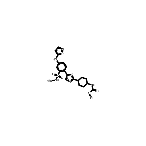 CC(C)OC(=O)NC1CCC(c2ncc(-c3ccc(Nc4ccno4)cc3S(=O)(=O)NC(C)(C)C)s2)CC1